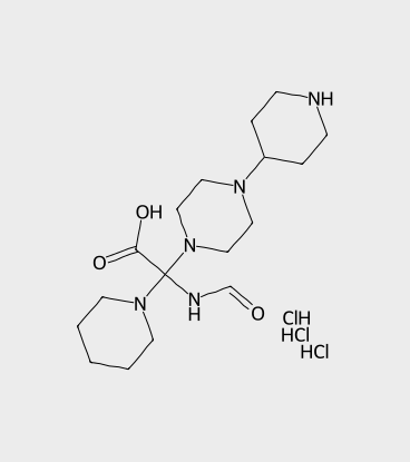 Cl.Cl.Cl.O=CNC(C(=O)O)(N1CCCCC1)N1CCN(C2CCNCC2)CC1